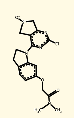 CN(C)C(=O)COc1ccc2c(c1)N(c1nc(Cl)nc3c1C[S+]([O-])C3)CC2